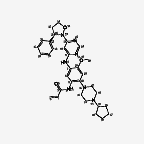 C=CC(=O)Nc1cc(Nc2cc(N3OCC[C@@H]3c3ccccc3)ncn2)c(OC)cc1N1CCN(C2CCCC2)CC1